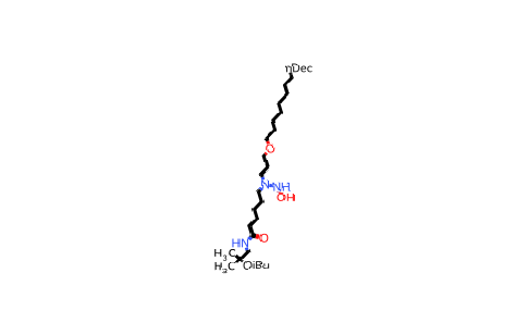 CCCCCCCCCCCCCCCCCCOCCCN(CCCCCC(=O)NCC(C)(C)OCC(C)C)NO